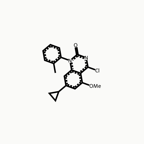 COc1cc(C2CC2)cc2c1c(Cl)nc(=O)n2-c1ccccc1C